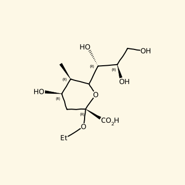 CCO[C@]1(C(=O)O)C[C@@H](O)[C@@H](C)C([C@H](O)[C@H](O)CO)O1